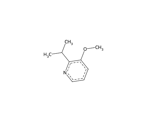 COc1cccnc1C(C)C